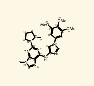 COc1cc(-n2cnc(Nc3nc(N4CCC[C@H]4C)nc4c3ncn4C)c2)cc(OC)c1OC